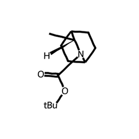 C[C@@H]1C2CCC(CC2)N1C(=O)OC(C)(C)C